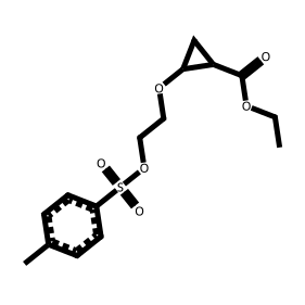 CCOC(=O)C1CC1OCCOS(=O)(=O)c1ccc(C)cc1